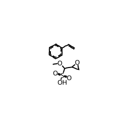 C=Cc1ccccc1.COC(C1CO1)S(=O)(=O)O